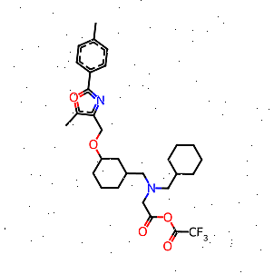 Cc1ccc(-c2nc(COC3CCCC(CN(CC(=O)OC(=O)C(F)(F)F)CC4CCCCC4)C3)c(C)o2)cc1